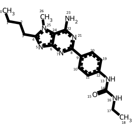 CCCCc1nc2nc(-c3ccc(NC(=O)NCC)cc3)nc(N)c2n1C